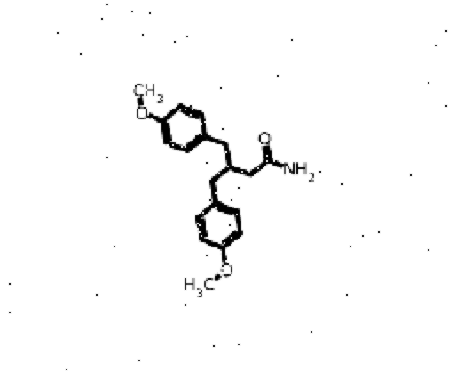 COc1ccc(CC(CC(N)=O)Cc2ccc(OC)cc2)cc1